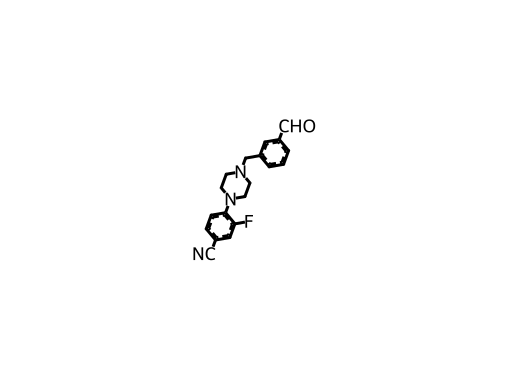 N#Cc1ccc(N2CCN(Cc3cccc(C=O)c3)CC2)c(F)c1